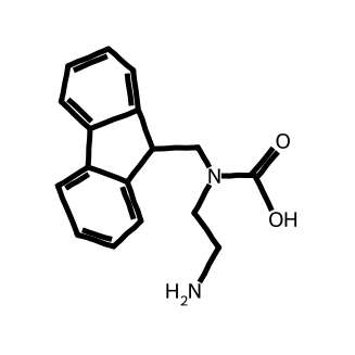 NCCN(CC1c2ccccc2-c2ccccc21)C(=O)O